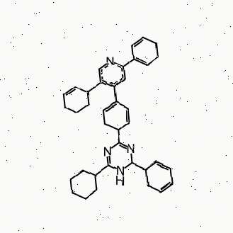 C1=CCC(C2N=C(C3C=CC(c4cc(C5=CCCC=C5)ncc4C4C=CCCC4)=CC3)N=C(C3CCCCC3)N2)C=C1